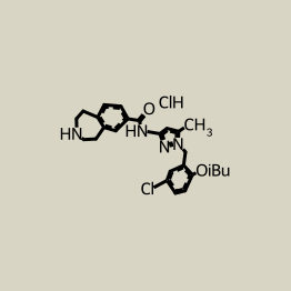 Cc1cc(NC(=O)c2ccc3c(c2)CCNCC3)nn1Cc1cc(Cl)ccc1OCC(C)C.Cl